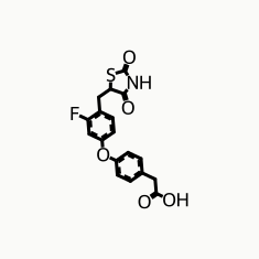 O=C(O)Cc1ccc(Oc2ccc(CC3SC(=O)NC3=O)c(F)c2)cc1